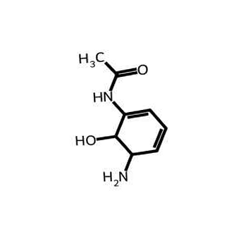 CC(=O)NC1=CC=CC(N)C1O